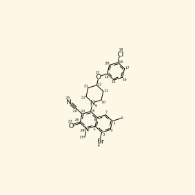 Cc1cc(Br)c2c(c1)c(N1CCC(Oc3cccc(Cl)c3)CC1)c(C#N)c(=O)n2C